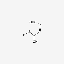 O=C/C=C\C(O)SF